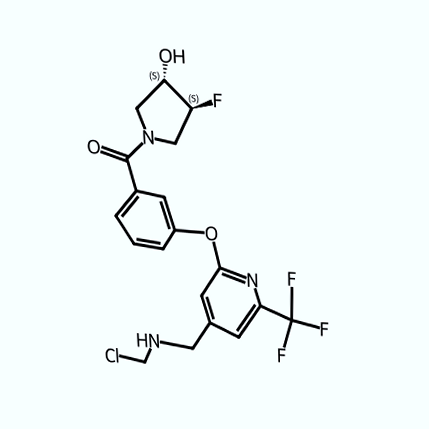 O=C(c1cccc(Oc2cc(CNCCl)cc(C(F)(F)F)n2)c1)N1C[C@H](O)[C@@H](F)C1